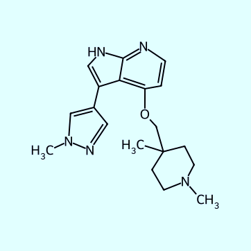 CN1CCC(C)(COc2ccnc3[nH]cc(-c4cnn(C)c4)c23)CC1